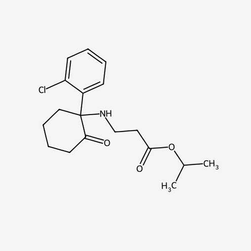 CC(C)OC(=O)CCNC1(c2ccccc2Cl)CCCCC1=O